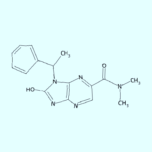 CC(c1ccccc1)n1c(O)nc2ncc(C(=O)N(C)C)nc21